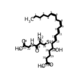 CCCCC/C=C\C\C=C/C=C/C=C/[C@@H](SCC(N)C(=O)NCC(=O)O)[C@@H](O)CCCC(=O)O